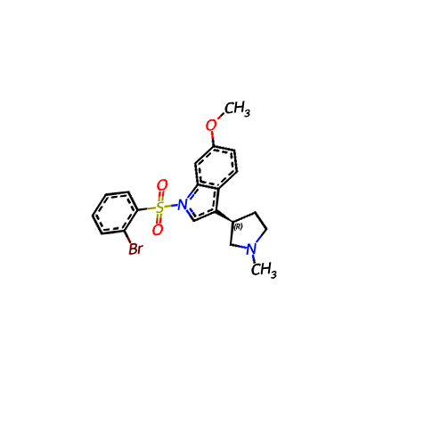 COc1ccc2c([C@H]3CCN(C)C3)cn(S(=O)(=O)c3ccccc3Br)c2c1